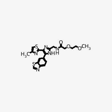 COCCOCC(=O)NCc1nc(-c2nc(C)cs2)c(-c2ccc3ncsc3c2)[nH]1